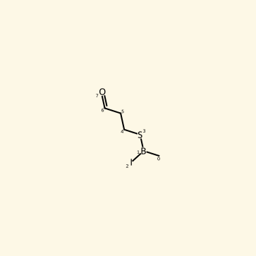 CB(I)SCCC=O